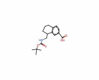 CC(C)(C)OC(=O)NCC1CCCc2ccc(C(=O)O)cc21